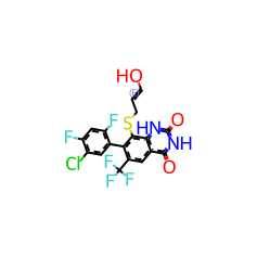 O=c1[nH]c(=O)c2cc(C(F)(F)F)c(-c3cc(Cl)c(F)cc3F)c(SC/C=C/O)c2[nH]1